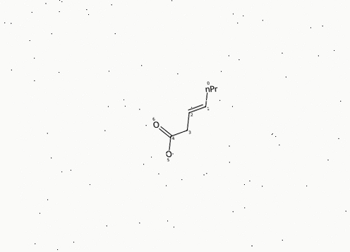 CCC/C=C/CC([O])=O